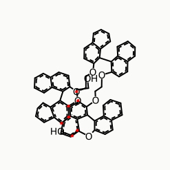 OCCOc1ccc2ccccc2c1-c1c(OCCOc2ccc3ccccc3c2-c2c(OCCOc3ccc4ccccc4c3-c3c(OCCO)ccc4ccccc34)ccc3ccccc23)ccc2ccccc12